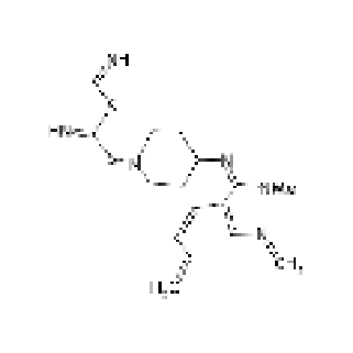 C=C\C=C/C(=C/N=C)C(=N\C1CCN(SC(=N)SC=N)CC1)/NC